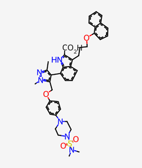 Cc1nn(C)c(COc2ccc(N3CCN(S(=O)(=O)N(C)C)CC3)cc2)c1-c1cccc2c(CCCOc3cccc4ccccc34)c(C(=O)O)[nH]c12